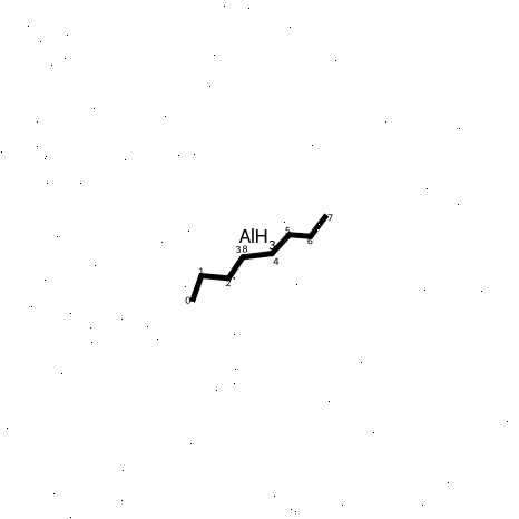 CC[CH]CCCCC.[AlH3]